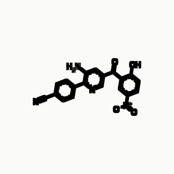 N#Cc1ccc(-c2ncc(C(=O)c3cc([N+](=O)[O-])ccc3O)cc2N)cc1